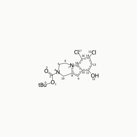 CC(C)(C)OC(=O)N1CCn2c(cc3c(O)cc(Cl)c(Cl)c32)C1